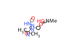 CNC[C@H](O)COc1cccc(-c2nc(NC3CCOCC3)cc(-c3c(C)noc3C)n2)c1